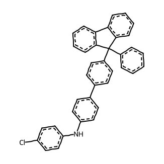 Clc1ccc(Nc2ccc(-c3ccc(C4(c5ccccc5)c5ccccc5-c5ccccc54)cc3)cc2)cc1